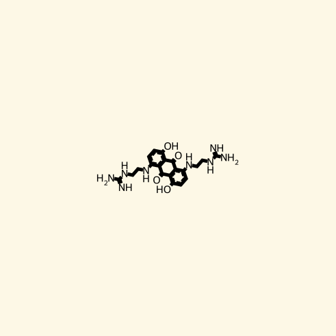 N=C(N)NCCNc1ccc(O)c2c1C(=O)c1c(O)ccc(NCCNC(=N)N)c1C2=O